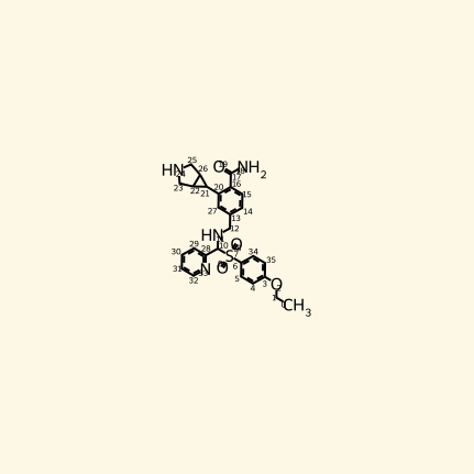 CCOc1ccc(S(=O)(=O)C(NCc2ccc(C(N)=O)c(C3C4CNCC43)c2)c2ccccn2)cc1